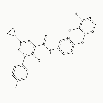 Nc1nccc(Oc2ncc(NC(=O)c3cn(C4CC4)nc(-c4ccc(F)cc4)c3=O)cn2)c1Cl